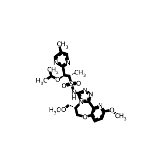 COC[C@H]1COc2ccc(OC)nc2-c2nnc(NS(=O)(=O)[C@@H](C)[C@@H](OC(C)C)c3ncc(C)cn3)n21